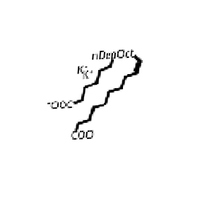 CCCCCCCC/C=C\CCCCCCCC(=O)[O-].CCCCCCCCCCCCCCCC(=O)[O-].[K+].[K+]